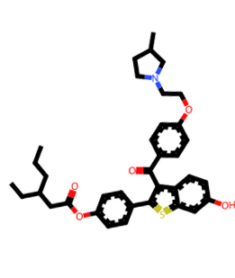 CCCC(CC)CC(=O)Oc1ccc(-c2sc3cc(O)ccc3c2C(=O)c2ccc(OCCN3CCC(C)C3)cc2)cc1